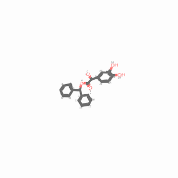 [O]C(C(=O)OC(c1ccccc1)c1ccccc1)c1ccc(O)c(O)c1